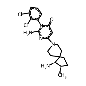 C[C@@H]1CCC2(CCN(c3cc(=O)n(-c4cccc(Cl)c4Cl)c(N)n3)CC2)[C@@H]1N